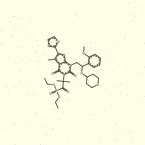 CCOP(=O)(OCC)C(=O)C(C)(C)n1c(=O)c2c(C)c(-c3ncco3)sc2n(CC(OC2CCOCC2)c2ccccc2OC)c1=O